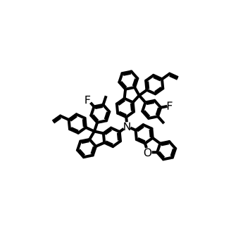 C=Cc1ccc(C2(c3ccc(C)c(F)c3)c3ccccc3-c3ccc(N(c4ccc5c(c4)C(c4ccc(C=C)cc4)(c4ccc(C)c(F)c4)c4ccccc4-5)c4ccc5c(c4)oc4ccccc45)cc32)cc1